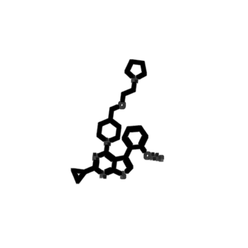 COc1ccccc1-c1csc2nc(C3CC3)nc(N3CCC(COCCN4CCCC4)CC3)c12